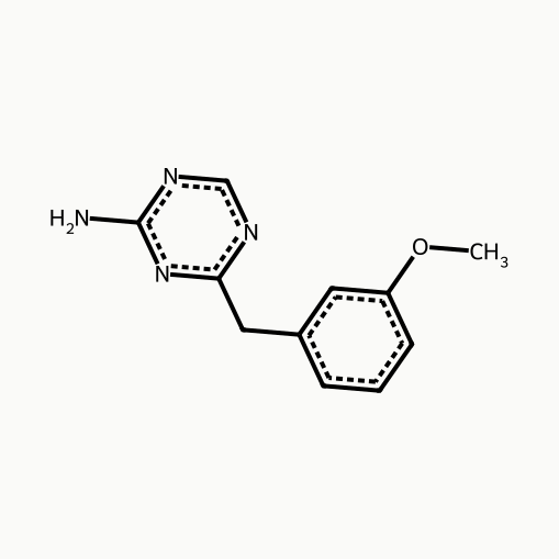 COc1cccc(Cc2ncnc(N)n2)c1